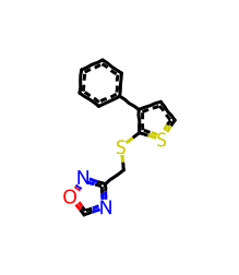 c1ccc(-c2ccsc2SCc2ncon2)cc1